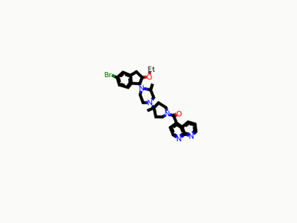 CCOC1Cc2cc(Br)ccc2C1N1CCN(C2(C)CCN(C(=O)c3ccnc4ncccc34)CC2)CC1C